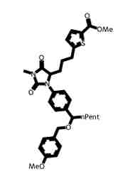 CCCCCC(OCc1ccc(OC)cc1)c1ccc(N2C(=O)N(C)C(=O)C2CCCc2ccc(C(=O)OC)s2)cc1